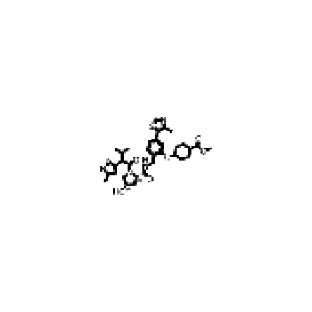 COC(=O)C1CCC(Oc2cc(-c3scnc3C)ccc2CNC(=O)[C@@H]2C[C@@H](O)CN2C(=O)C(c2cc(C)no2)C(C)C)CC1